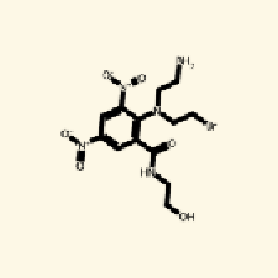 BCCN(CCBr)c1c(C(=O)NCCO)cc([N+](=O)[O-])cc1[N+](=O)[O-]